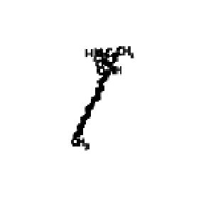 CCCCCCCCCCCCCCCC(=O)N[C@@H](CC(C)C)C(=O)OC